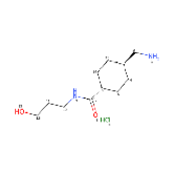 Cl.NC[C@H]1CC[C@H](C(=O)NCCCO)CC1